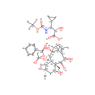 CC(=O)O[C@@]12CO[C@@H]1C[C@H](O)[C@@]1(C)C(=O)[C@H](O)C3=C(C)[C@@H](OC(=O)C(O)C(NC(=O)OC(C)(C)C)C4CC4)C[C@@](O)([C@@H](OC(=O)c4ccccc4)[C@H]21)C3(C)C